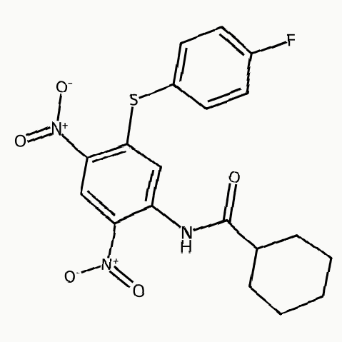 O=C(Nc1cc(Sc2ccc(F)cc2)c([N+](=O)[O-])cc1[N+](=O)[O-])C1CCCCC1